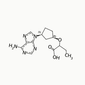 CCC(O[C@@H]1CC[C@H](n2cnc3c(N)ncnc32)C1)C(=O)O